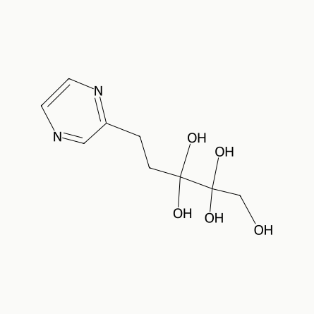 OCC(O)(O)C(O)(O)CCc1cnccn1